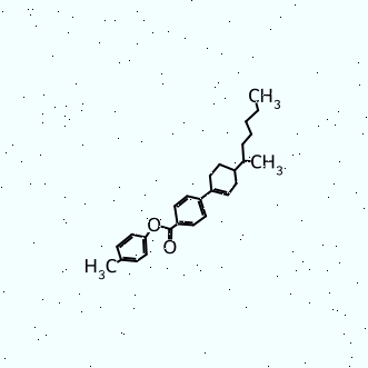 CCCCCC(C)C1CC=C(c2ccc(C(=O)Oc3ccc(C)cc3)cc2)CC1